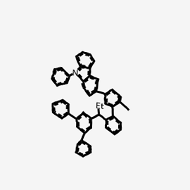 CCC(c1cc(-c2ccccc2)cc(-c2ccccc2)c1)c1ccccc1-c1cc(-c2ccc3c(c2)c2ccccc2n3-c2ccccc2)ccc1C